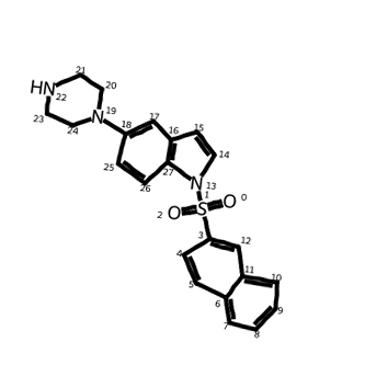 O=S(=O)(c1ccc2ccccc2c1)n1ccc2cc(N3CCNCC3)ccc21